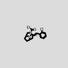 CCC(=O)N1CCC2CCC(C1)N2C/C=C/c1ccccc1Cl